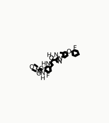 Cc1cc(Oc2ccccc2F)ccc1-n1ncc(C(=O)c2cc3cc(F)c(NS(=O)(=O)N4CCOCC4)cc3[nH]2)c1N